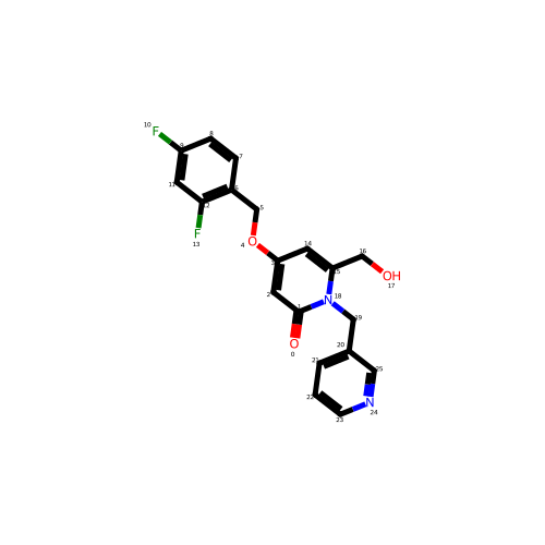 O=c1cc(OCc2ccc(F)cc2F)cc(CO)n1Cc1cccnc1